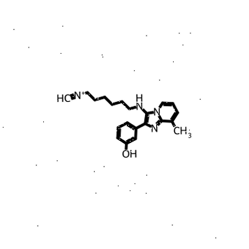 C#[N+]CCCCCCNc1c(-c2cccc(O)c2)nc2c(C)cccn12